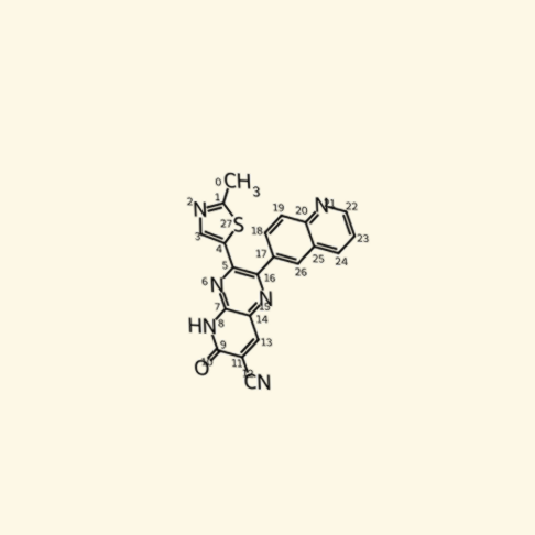 Cc1ncc(-c2nc3[nH]c(=O)c(C#N)cc3nc2-c2ccc3ncccc3c2)s1